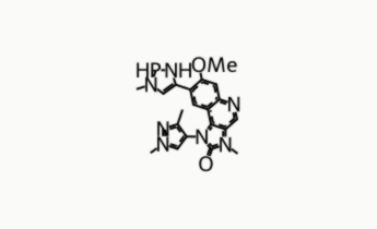 COc1cc2ncc3c(c2cc1C1=CN(C)PN1)n(-c1cn(C)nc1C)c(=O)n3C